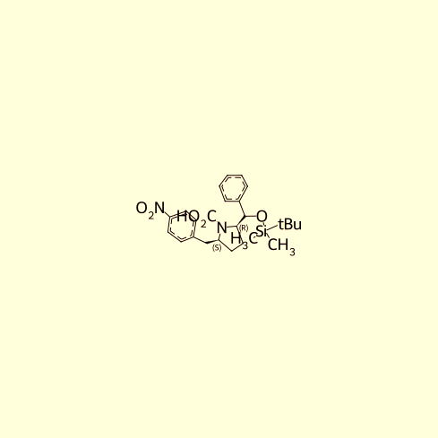 CC(C)(C)[Si](C)(C)OC(c1ccccc1)[C@H]1CC[C@@H](Cc2ccc([N+](=O)[O-])cc2)N1C(=O)O